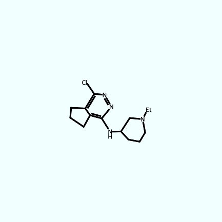 CCN1CCCC(Nc2nnc(Cl)c3c2CCC3)C1